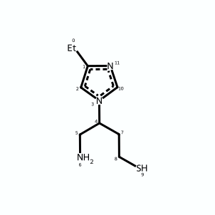 CCc1cn(C(CN)CCS)cn1